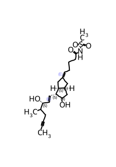 CC#CCC(C)[C@H](O)/C=C/[C@@H]1[C@H]2C/C(=C/CCCC(=O)NS(C)(=O)=O)C[C@H]2C[C@H]1O